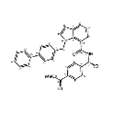 COC(=O)c1ccc([C@H](C)NC(=O)c2cccc3ccn(Cc4ccc(-c5ccccc5)cc4)c23)cc1